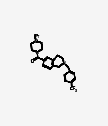 CC(C)N1CCN(C(=O)c2ccc3c(c2)CCN(Cc2ccc(C(F)(F)F)cc2)C3)CC1